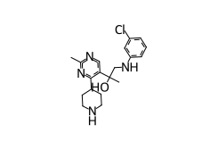 Cc1ncc(C(C)(O)CNc2cccc(Cl)c2)c(C2CCNCC2)n1